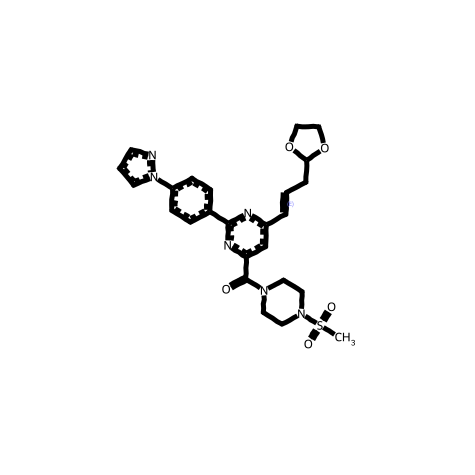 CS(=O)(=O)N1CCN(C(=O)c2cc(/C=C/CC3OCCO3)nc(-c3ccc(-n4cccn4)cc3)n2)CC1